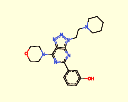 Oc1cccc(-c2nc(N3CCOCC3)c3nnn(CCN4CCCCC4)c3n2)c1